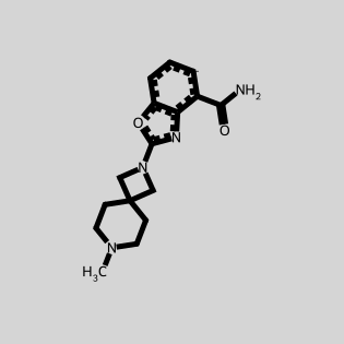 CN1CCC2(CC1)CN(c1nc3c(C(N)=O)[c]ccc3o1)C2